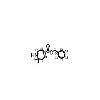 CC1(C)CCN(C(=O)OCc2ccccc2)CCN1